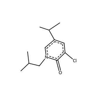 CC(C)Cn1cc(C(C)C)cc(Cl)c1=O